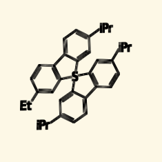 CCc1ccc2c(c1)S1(c3cc(C(C)C)ccc3-2)c2cc(C(C)C)ccc2-c2ccc(C(C)C)cc21